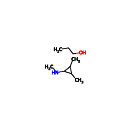 CCCO.CNC1C(C)C1C